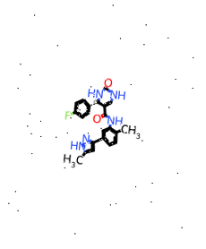 Cc1cc(-c2ccc(C)c(NC(=O)C3=CNC(=O)N[C@H]3c3ccc(F)cc3)c2)n[nH]1